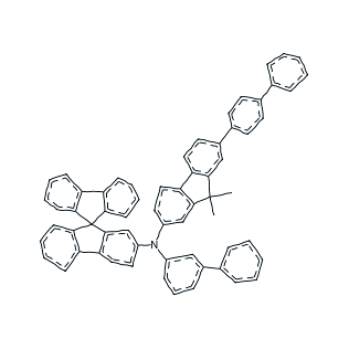 CC1(C)c2cc(-c3ccc(-c4ccccc4)cc3)ccc2-c2ccc(N(c3cccc(-c4ccccc4)c3)c3ccc4c(c3)C3(c5ccccc5-c5ccccc53)c3ccccc3-4)cc21